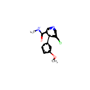 CNC(=O)c1cncc(Cl)c1-c1cccc(OC)c1